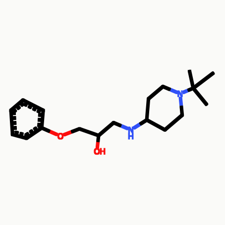 CC(C)(C)N1CCC(NCC(O)COc2ccccc2)CC1